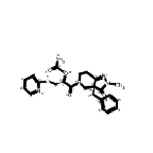 CN1N=C2CCN(C(=O)[C@@H](COc3ccccn3)OC(N)=O)C[C@@]2(Cc2ccccc2)C1=O